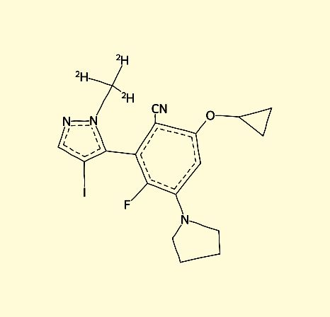 [2H]C([2H])([2H])n1ncc(I)c1-c1c(F)c(N2CCCC2)cc(OC2CC2)c1C#N